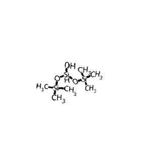 C[Si](C)(C)O[SiH](O)O[Si](C)(C)C